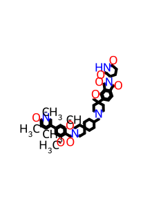 COc1cc(-c2cn(C)c(=O)c(C)c2C)cc(OC)c1C(=O)N1CCC2(CCC(CN3CCC4(CC3)COc3c4ccc4c3C(=O)N(C3CCC(=O)NC3=O)C4=O)CC2)CC1